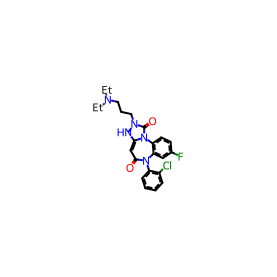 CCN(CC)CCCN1NC2=CC(=O)N(c3ccccc3Cl)c3cc(F)ccc3N2C1=O